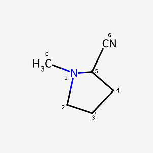 CN1C[CH]CC1C#N